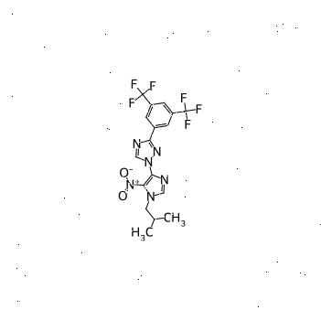 CC(C)Cn1cnc(-n2cnc(-c3cc(C(F)(F)F)cc(C(F)(F)F)c3)n2)c1[N+](=O)[O-]